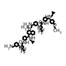 CCCOc1ccc(C(NCC2CC2)c2cccc(NC(=O)c3cc(C(F)(F)F)nn3-c3cccc(C(N)CN(C)c4ccc(C(NCC5CC5)c5cccc(NC(=O)c6cc(C(F)(F)F)nn6-c6cccc(CN)c6)c5)c5ccccc45)c3)c2)cc1